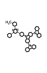 Cc1cccc(-c2nc(-c3ccccc3)cc(-c3ccc(-n4c5ccc(-n6c7ccccc7c7ccccc76)cc5c5cc(-n6c7ccccc7c7ccccc76)ccc54)cc3)n2)c1